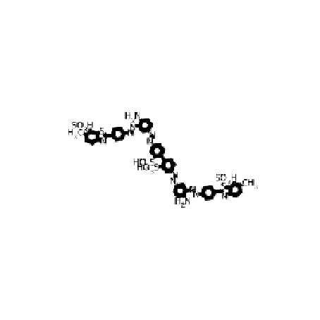 Cc1ccc2nc(-c3ccc(N=Nc4cc(N=Nc5ccc(-c6ccc(N=Nc7ccc(N)c(N=Nc8ccc(-c9nc%10ccc(C)c(S(=O)(=O)O)c%10s9)cc8)c7)cc6S(=O)(=O)O)c(S(=O)(=O)O)c5)ccc4N)cc3)sc2c1S(=O)(=O)O